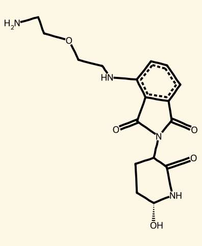 NCCOCCNc1cccc2c1C(=O)N(C1CC[C@@H](O)NC1=O)C2=O